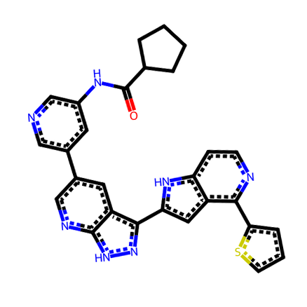 O=C(Nc1cncc(-c2cnc3[nH]nc(-c4cc5c(-c6cccs6)nccc5[nH]4)c3c2)c1)C1CCCC1